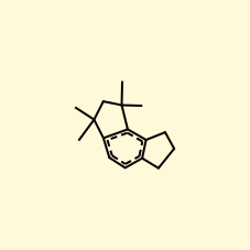 CC1(C)CC(C)(C)c2c1ccc1c2CCC1